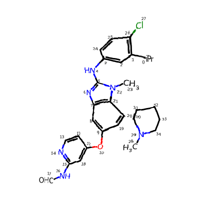 CC(C)c1cc(Nc2nc3cc(Oc4ccnc(NC=O)c4)ccc3n2C)ccc1Cl.CN1CCCCC1